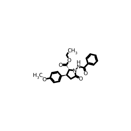 CCOC(=O)[C@H]1[C@H](c2ccc(OC)cc2)CC(=O)N1NC(=O)c1ccccc1